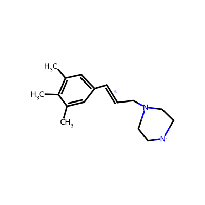 Cc1cc(/C=C/CN2CC[N]CC2)cc(C)c1C